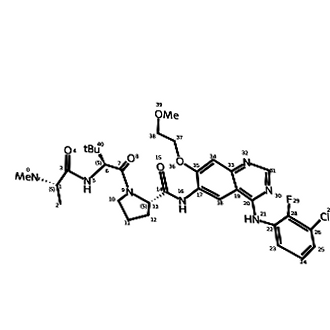 CN[C@@H](C)C(=O)N[C@H](C(=O)N1CCC[C@H]1C(=O)Nc1cc2c(Nc3cccc(Cl)c3F)ncnc2cc1OCCOC)C(C)(C)C